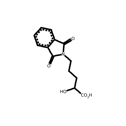 O=C(O)C(O)CCCN1C(=O)c2ccccc2C1=O